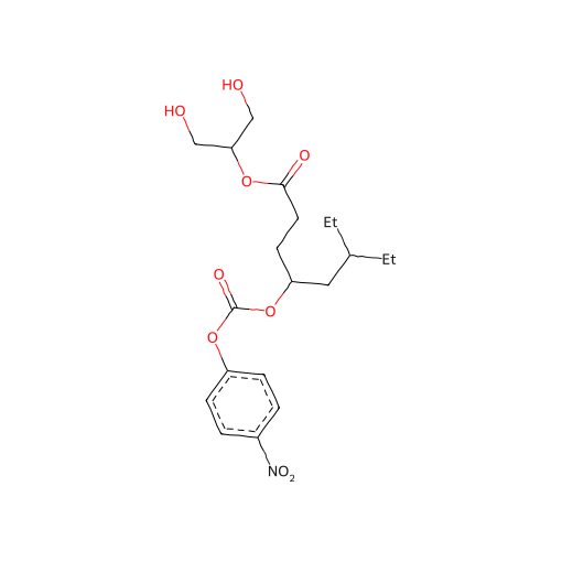 CCC(CC)CC(CCC(=O)OC(CO)CO)OC(=O)Oc1ccc([N+](=O)[O-])cc1